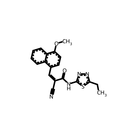 CCc1nnc(NC(=O)C(C#N)=Cc2ccc(OC)c3ccccc23)s1